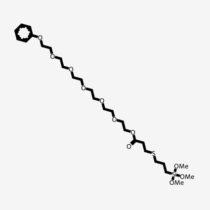 CO[Si](CCCSCCC(=O)OCCOCCOCCOCCOCCOCCOc1ccccc1)(OC)OC